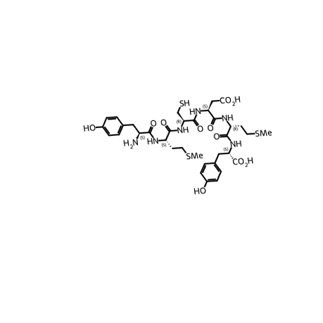 CSCC[C@H](NC(=O)[C@@H](N)Cc1ccc(O)cc1)C(=O)N[C@@H](CS)C(=O)N[C@@H](CC(=O)O)C(=O)N[C@H](CCSC)C(=O)N[C@@H](Cc1ccc(O)cc1)C(=O)O